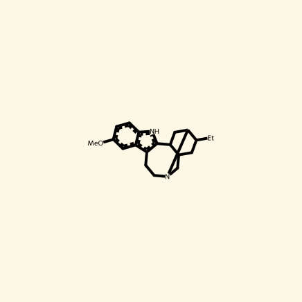 CCC1CC2CN3CCc4c([nH]c5ccc(OC)cc45)C2CC13